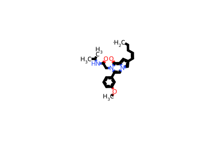 [CH2]CC/C=C\c1cc2c(=O)n(CC(=O)NC(C)C)c(-c3cccc(OC)c3)cn2c1